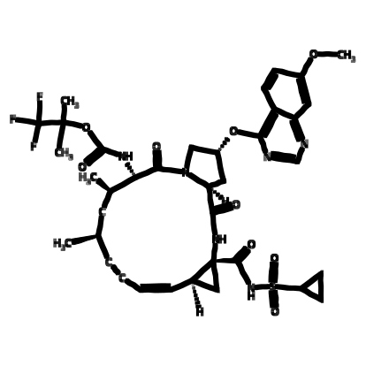 COc1ccc2c(O[C@@H]3C[C@H]4C(=O)N[C@]5(C(=O)NS(=O)(=O)C6CC6)C[C@H]5/C=C\CC[C@@H](C)C[C@@H](C)[C@H](NC(=O)OC(C)(C)C(F)(F)F)C(=O)N4C3)ncnc2c1